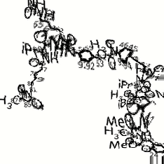 CC[C@H](C)[C@@H]([C@@H](CC(=O)N1CCC[C@H]1[C@H](OC)[C@@H](C)C(=O)N[C@@H](Cc1ccccc1)C(=O)OC)OC)N(C)C(=O)[C@@H](NC(=O)[C@H](C(C)C)N(C)CCc1ccc(N(C)C(=O)OCc2ccc(NC(=O)[C@H](CCCCNC(N)=O)NC(=O)[C@@H](NC(=O)CCCCCN3C(=O)CC(C)C3=O)C(C)C)cc2)cc1)C(C)C